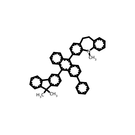 CN1c2ccccc2CCc2ccc(-c3c4ccccc4c(-c4ccc5c(c4)-c4ccccc4C5(C)C)c4cc(-c5ccccc5)ccc34)cc21